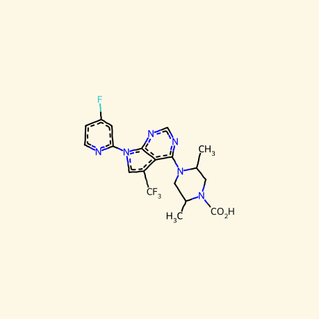 CC1CN(c2ncnc3c2c(C(F)(F)F)cn3-c2cc(F)ccn2)C(C)CN1C(=O)O